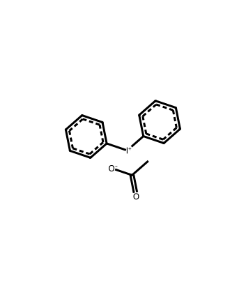 CC(=O)[O-].c1ccc([I+]c2ccccc2)cc1